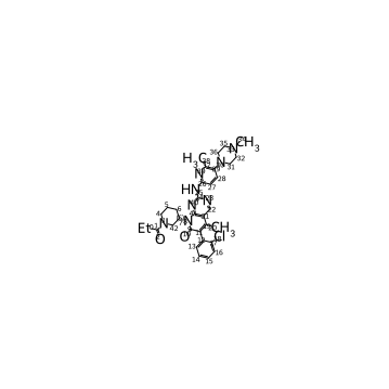 CCC(=O)N1CCC[C@H](n2c(=O)c(-c3ccccc3Cl)c(C)c3cnc(Nc4ccc(N5CCN(C)CC5)c(C)n4)nc32)C1